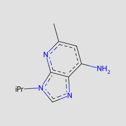 Cc1cc(N)c2ncn(C(C)C)c2n1